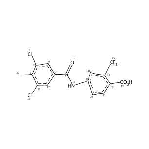 Cc1c(Cl)cc(C(=O)Nc2ccc(C(=O)O)c(C(F)(F)F)c2)cc1Cl